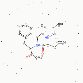 COC(=O)C(Cc1ccccc1)N(CCC(C)(C)C)C(=O)C(CC(=O)O)NCCC(C)(C)C